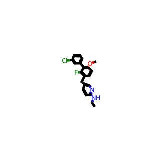 CCNc1ccc(Cc2ccc(OC)c(-c3cccc(Cl)c3)c2F)cn1